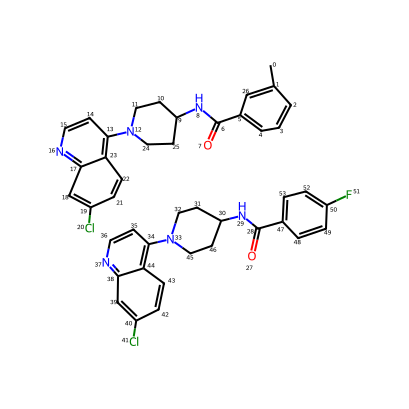 Cc1cccc(C(=O)NC2CCN(c3ccnc4cc(Cl)ccc34)CC2)c1.O=C(NC1CCN(c2ccnc3cc(Cl)ccc23)CC1)c1ccc(F)cc1